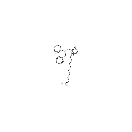 CCCCCCCCCn1ccnc1CC(Cc1ccccc1)c1ccccc1